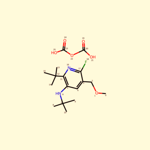 COCc1cc(NC(C)(C)C)c(C(C)(C)C)nc1F.O=C(O)OC(=O)O